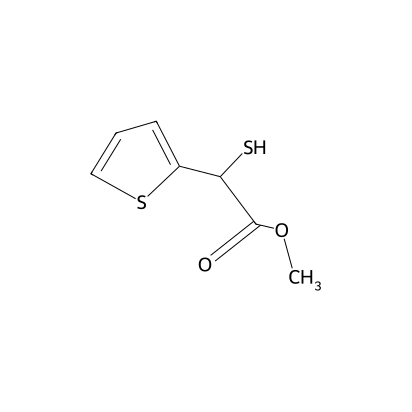 COC(=O)C(S)c1cccs1